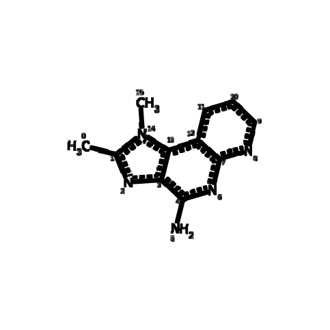 Cc1nc2c(N)nc3ncccc3c2n1C